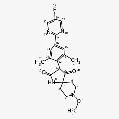 CON1CCC2(CC1)NC(=O)C(c1c(C)cc(-c3ncc(F)cn3)cc1C)C2=O